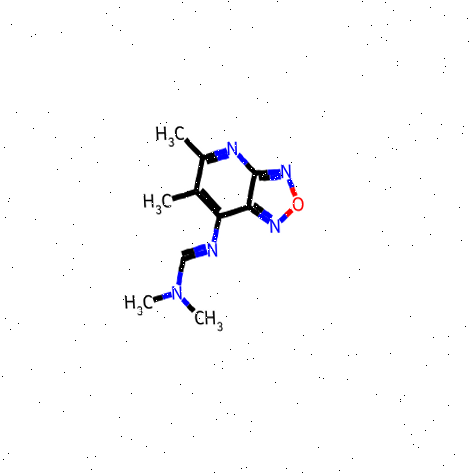 Cc1nc2nonc2c(/N=C/N(C)C)c1C